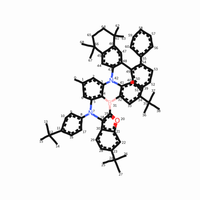 Cc1cc2c3c(c1)N(c1ccc(C(C)(C)C)cc1)c1c(oc4cc(C(C)(C)C)ccc14)B3c1cc(C(C)(C)C)ccc1N2c1cc2c(cc1-c1ccccc1-c1ccccc1)C(C)(C)CCC2(C)C